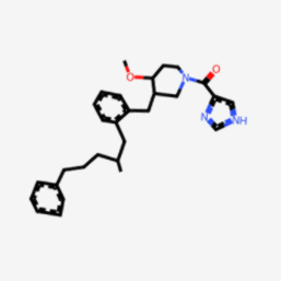 COC1CCN(C(=O)c2c[nH]cn2)CC1Cc1ccccc1CC(C)CCCc1ccccc1